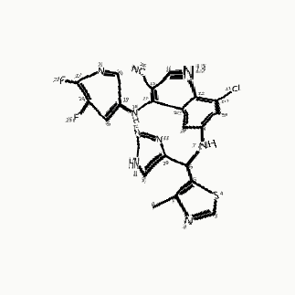 Cc1ncsc1C(Nc1cc(Cl)c2ncc(C#N)c(Nc3cnc(F)c(F)c3)c2c1)c1c[nH]nn1